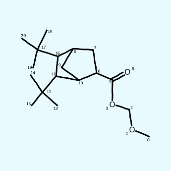 COCOC(=O)C1CC2CC1C(C(C)(C)C)C2C(C)(C)C